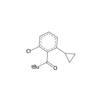 CC(C)(C)C(=O)c1c(Cl)cccc1C1CC1